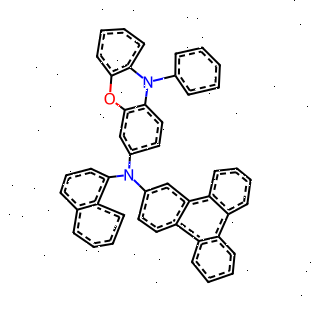 c1ccc(N2c3ccccc3Oc3cc(N(c4ccc5c6ccccc6c6ccccc6c5c4)c4cccc5ccccc45)ccc32)cc1